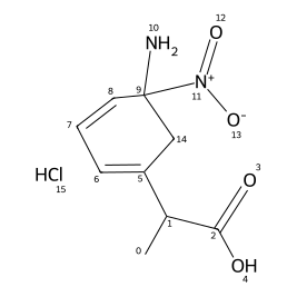 CC(C(=O)O)C1=CC=CC(N)([N+](=O)[O-])C1.Cl